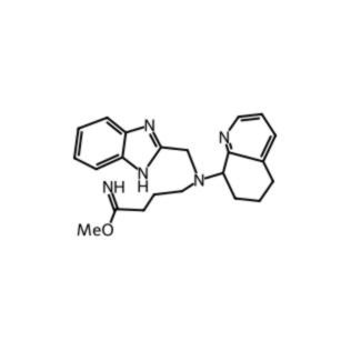 COC(=N)CCCN(Cc1nc2ccccc2[nH]1)C1CCCc2cccnc21